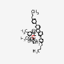 C=CCOc1c([Si](C)(C)C)cc(C)cc1[Si](C)(C)C1c2cc(-c3ccc(CCCC)cc3)ccc2-c2ccc(-c3ccc(CCCC)cc3)cc21